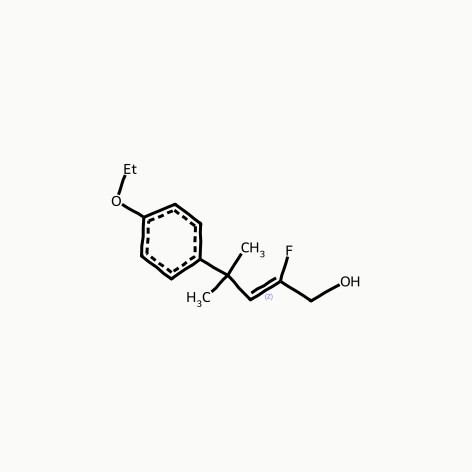 CCOc1ccc(C(C)(C)/C=C(\F)CO)cc1